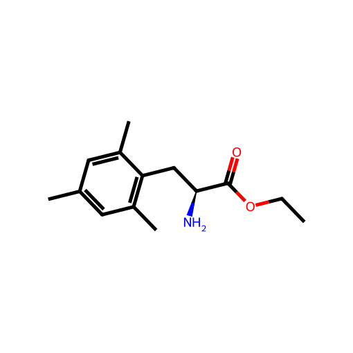 CCOC(=O)[C@@H](N)Cc1c(C)cc(C)cc1C